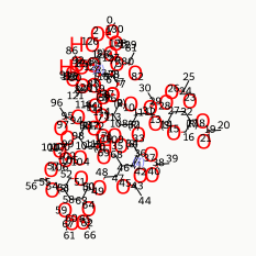 CC(=O)OCCC(CO[C@@H]1OC(CO[C@H]2OC[C@@H](OC(C)=O)C(OC(C)=O)C2OC(C)=O)[C@@H](O[C@H](O)/C(OC(C)=O)=C(/OC(C)=O)C(CCO[C@H]2OC[C@H](OC(C)=O)C(OC(C)=O)C2OC(C)=O)CO[C@@H]2OC(CO[C@H]3OC[C@@H](OC(C)=O)C(OC(C)=O)C3OC(C)=O)[C@@H](OC(C)=O)C(OC(C)=O)C2OC(C)=O)C(OC(C)=O)C1OC(C)=O)/C(OC(C)=O)=C(/O)[C@@H](O)OC(C)=O